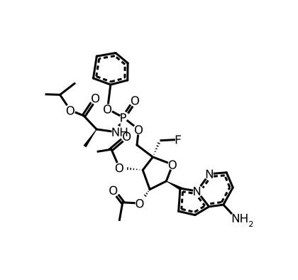 CC(=O)O[C@H]1[C@H](c2ccc3c(N)ccnn23)O[C@](CF)(CO[P@@](=O)(N[C@@H](C)C(=O)OC(C)C)Oc2ccccc2)[C@H]1OC(C)=O